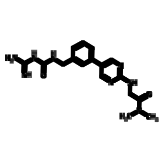 CN(C)C(=O)CNc1ncc(-c2cccc(CNC(=O)NC(=N)N)c2)cn1